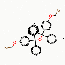 BrCOc1ccc(C(OC(c2ccccc2)(c2ccccc2)c2ccc(OCBr)cc2)(c2ccccc2)c2ccccc2)cc1